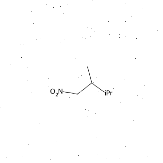 CC(C)C(C)C[N+](=O)[O-]